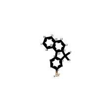 CC1(C)c2cc(Br)ccc2-c2c1ccc1ccccc21